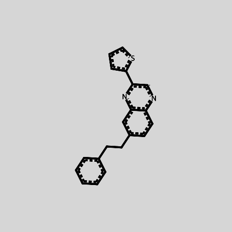 [c]1nc2ccc(CCc3ccccc3)cc2nc1-c1cccs1